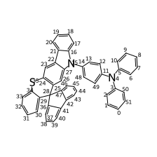 c1ccc(N(c2ccccc2)c2ccc(-n3c4ccccc4c4cc5c(cc43)C3(c4ccccc4S5)c4ccccc4-c4ccccc43)cc2)cc1